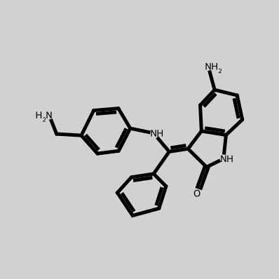 NCc1ccc(NC(=C2C(=O)Nc3ccc(N)cc32)c2ccccc2)cc1